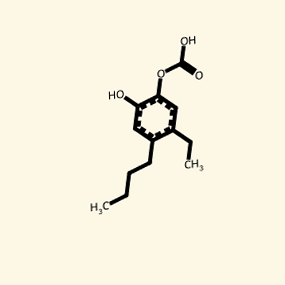 CCCCc1cc(O)c(OC(=O)O)cc1CC